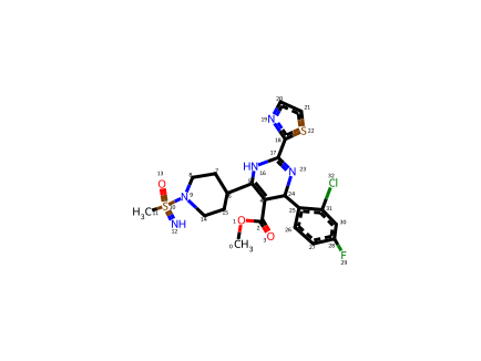 COC(=O)C1=C(C2CCN(S(C)(=N)=O)CC2)NC(c2nccs2)=NC1c1ccc(F)cc1Cl